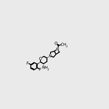 CC(=O)N1CC2CN([C@H]3CO[C@H](c4cc(F)ccc4F)[C@@H](N)C3)CC21